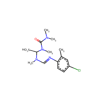 Cc1cc(Cl)ccc1N=CN(C)C(N(C)C(=O)N(C)C)S(=O)(=O)O